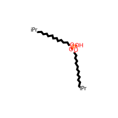 CC(C)CCCCCCCCCCCCCOP(=O)(O)OCCCCCCCCCCCCCC(C)C